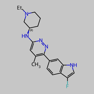 CCN1CCC[C@@H](Nc2cc(C)c(-c3ccc4c(F)c[nH]c4c3)nn2)C1